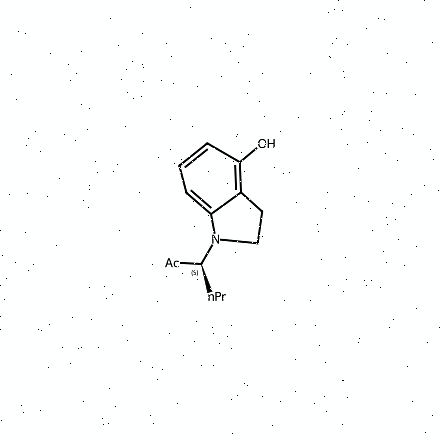 CCC[C@@H](C(C)=O)N1CCc2c(O)cccc21